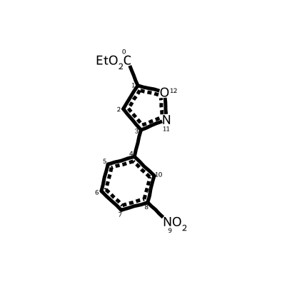 CCOC(=O)c1cc(-c2cccc([N+](=O)[O-])c2)no1